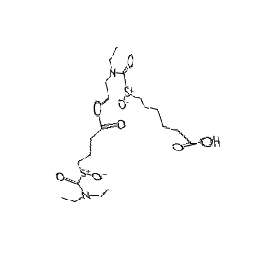 CCN(CC)C(=O)[S+]([O-])CCCC(=O)OCCN(CC)C(=O)[S+]([O-])CCCCCC(=O)O